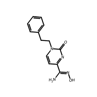 N/C(=N\O)c1ccn(CCc2ccccc2)c(=O)n1